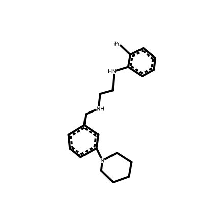 CC(C)c1ccccc1NCCNCc1cccc(N2CCCCC2)c1